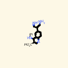 CC(C)Nc1c(C(=O)O)cnc2ccc(/C(C=N)=C/N)cc12